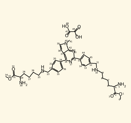 COC(=O)C(N)CCCCNCc1ccc(-c2nc(-c3ccc(CNCCCCC(N)C(=O)OC)cc3)c3ccn(C)c3n2)cc1.O=C(O)C(=O)O